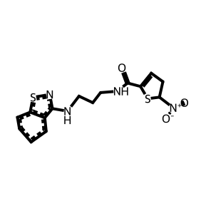 O=C(NCCCNc1nsc2ccccc12)C1=CCC([N+](=O)[O-])S1